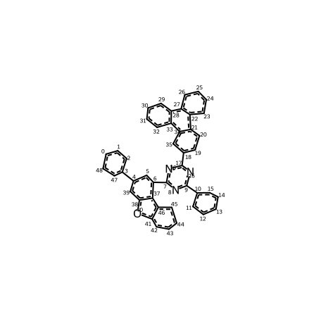 c1ccc(-c2cc(-c3nc(-c4ccccc4)nc(-c4ccc5c6ccccc6c6ccccc6c5c4)n3)c3c(c2)oc2ccccc23)cc1